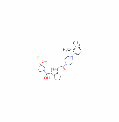 Cc1cccc(N2CCN(C(=O)Cn3nc(C(O)N4CCC(O)(CF)C4)c4c3CCC4)CC2)c1C